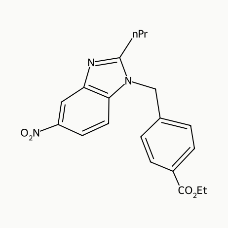 CCCc1nc2cc([N+](=O)[O-])ccc2n1Cc1ccc(C(=O)OCC)cc1